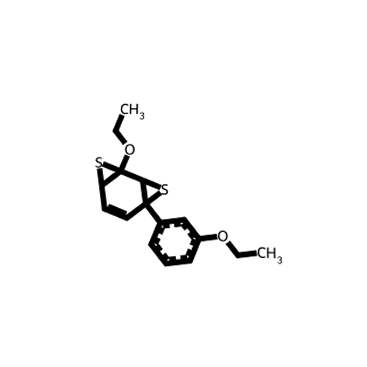 CCOc1cccc(C23C=CC4SC4(OCC)C2S3)c1